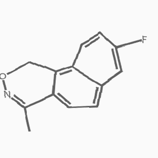 CC1=NOCc2c1ccc1cc(F)ccc21